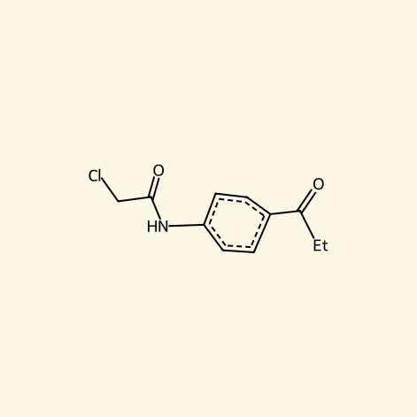 CCC(=O)c1ccc(NC(=O)CCl)cc1